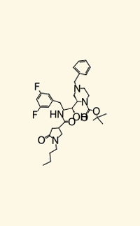 CCCCN1CC(C(=O)NC(Cc2cc(F)cc(F)c2)[C@H](O)[C@H]2CN(Cc3ccccc3)CCN2C(=O)OC(C)(C)C)CC1=O